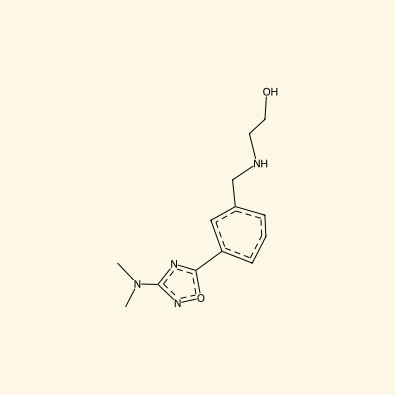 CN(C)c1noc(-c2cccc(CNCCO)c2)n1